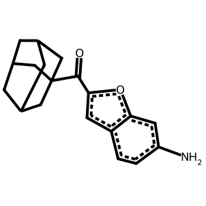 Nc1ccc2cc(C(=O)C34CC5CC(CC(C5)C3)C4)oc2c1